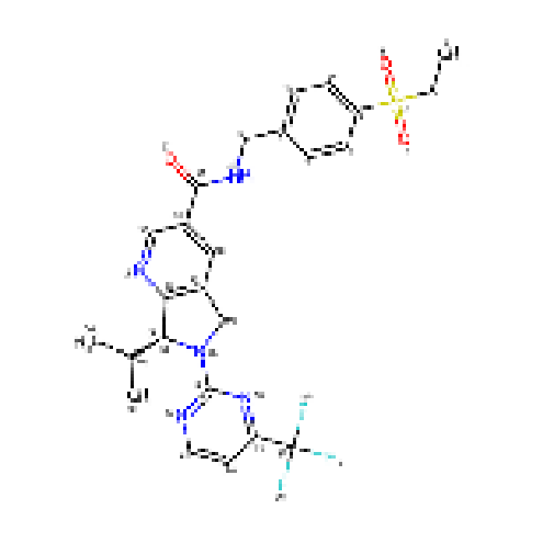 CCS(=O)(=O)c1ccc(CNC(=O)c2cnc3c(c2)CN(c2nccc(C(F)(F)F)n2)[C@H]3C(C)C)cc1